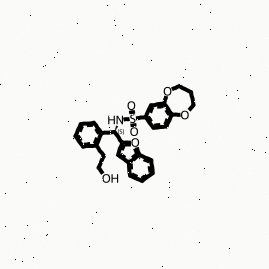 O=S(=O)(N[C@H](c1cc2ccccc2o1)c1ccccc1CCO)c1ccc2c(c1)OCCCO2